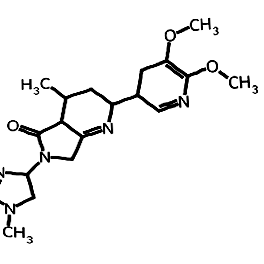 COC1=C(OC)N=CC(C2CC(C)C3C(=O)N(C4CN(C)C=N4)CC3=N2)C1